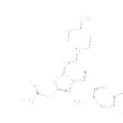 N#Cc1ccc(-c2cc(N3CCC(O)CC3)nc3sc(OC(N)=O)c(N)c23)cc1F